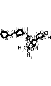 CC1(C)O[C@H]2O[C@H]([C@H]3COC(C)(C)O3)[C@@H](NC(=S)Nc3ccc(OCc4ccccc4)cc3)[C@H]2O1